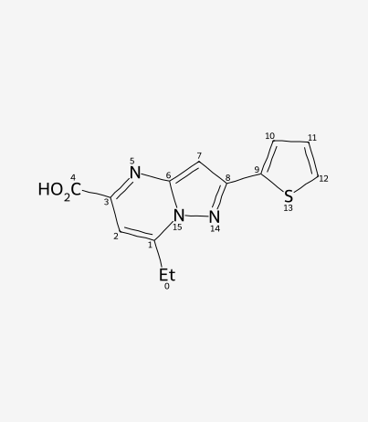 CCc1cc(C(=O)O)nc2cc(-c3cccs3)nn12